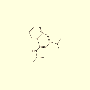 CC(C)Nc1cc(C(C)C)cc2ncccc12